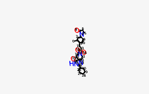 Cc1cc(N2CCC2=O)ccc1CCS(=O)(=O)N1CCC2(CC1)N=C(C1CCCCC1)NC2=O